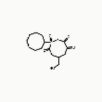 O=C1CC(CO)CC(=O)P(=O)(C2CCCCCCC2)CC1=O